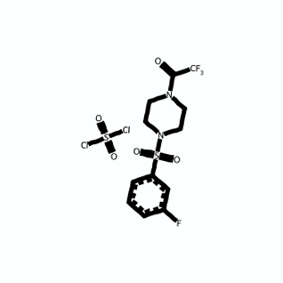 O=C(N1CCN(S(=O)(=O)c2cccc(F)c2)CC1)C(F)(F)F.O=S(=O)(Cl)Cl